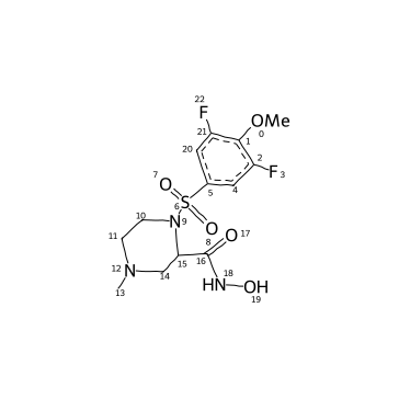 COc1c(F)cc(S(=O)(=O)N2CCN(C)CC2C(=O)NO)cc1F